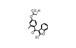 CCc1oc2ccccc2c1C(=O)c1ccc(OC(C)C(=O)O)cc1C